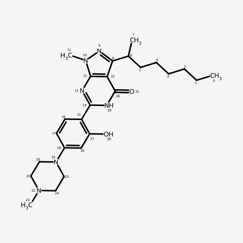 CCCCCCC(C)c1nn(C)c2nc(-c3ccc(N4CCN(C)CC4)cc3O)[nH]c(=O)c12